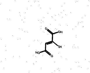 O=C(O)C=C(S)C(=O)O